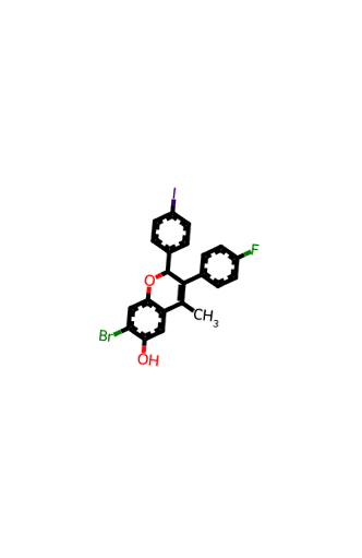 CC1=C(c2ccc(F)cc2)C(c2ccc(I)cc2)Oc2cc(Br)c(O)cc21